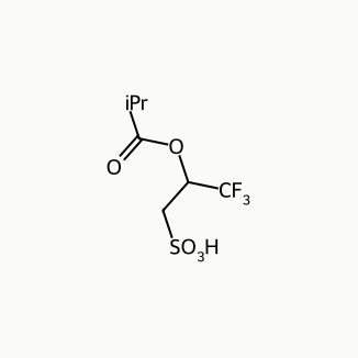 CC(C)C(=O)OC(CS(=O)(=O)O)C(F)(F)F